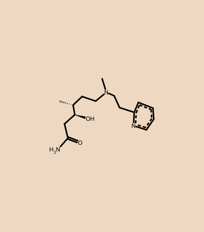 C[C@H](CCN(C)CCc1ccccn1)[C@@H](O)CC(N)=O